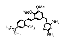 COc1cc(Cc2cnc(N)nc2N)cc(C=Cc2ccc(N(C)C)cc2C)c1OC